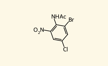 CC(=O)Nc1c(Br)cc(Cl)cc1[N+](=O)[O-]